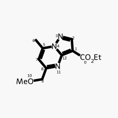 CCOC(=O)c1cnn2c(C)cc(COC)nc12